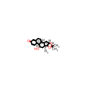 CC1(C)O[C@@H]2CC3[C@@H]4CCC5=CC(=O)C=C[C@]5(C)[C@H]4[C@@H](O)C[C@]3(C)[C@]2(C(=O)O)O1